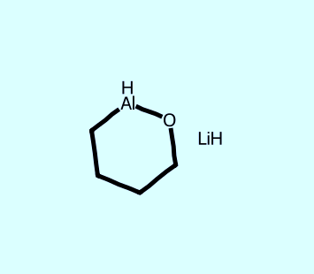 C1C[CH2][AlH][O]C1.[LiH]